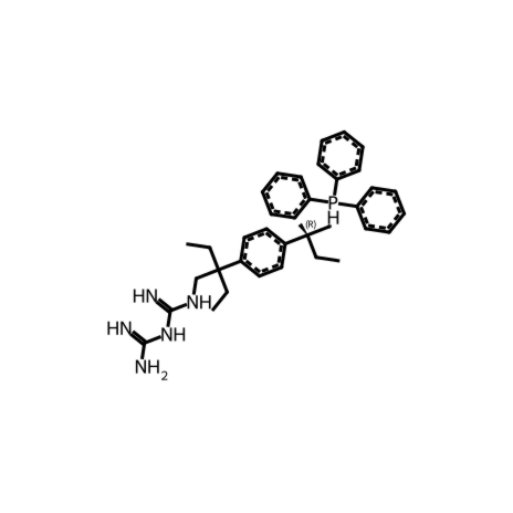 CCC(CC)(CNC(=N)NC(=N)N)c1ccc([C@@](C)(CC)C[PH](c2ccccc2)(c2ccccc2)c2ccccc2)cc1